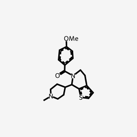 COc1ccc(C(=O)N2CCc3ccsc3C2C2CCN(C)CC2)cc1